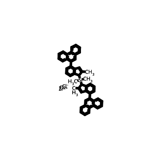 CC1=Cc2c(-c3cc4ccccc4c4ccccc34)cccc2C1[Si](C)(C)C1C(C)=Cc2c(-c3cc4ccccc4c4ccccc34)cccc21.[Cl-].[Cl-].[Zr+2]